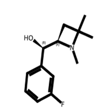 CN1[C@@H]([C@H](O)c2cccc(F)c2)CC1(C)C